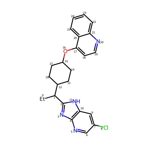 CCC(c1nc2ncc(Cl)cc2[nH]1)C1CCC(Oc2ccnc3ccccc23)CC1